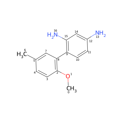 COc1ccc(C)cc1-c1ccc(N)cc1N